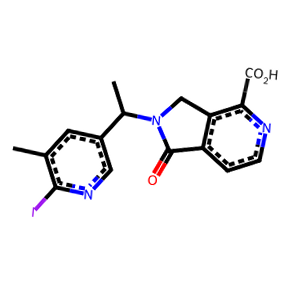 Cc1cc(C(C)N2Cc3c(ccnc3C(=O)O)C2=O)cnc1I